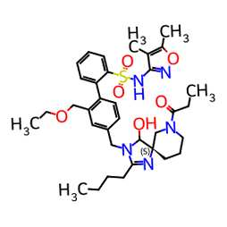 CCCCC1=N[C@]2(CCCN(C(=O)CC)C2)C(O)N1Cc1ccc(-c2ccccc2S(=O)(=O)Nc2noc(C)c2C)c(COCC)c1